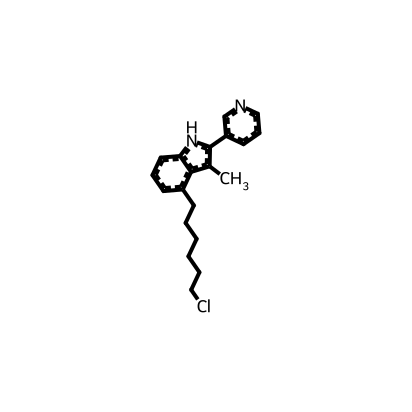 Cc1c(-c2cccnc2)[nH]c2cccc(CCCCCCCl)c12